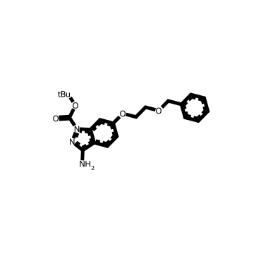 CC(C)(C)OC(=O)n1nc(N)c2ccc(OCCOCc3ccccc3)cc21